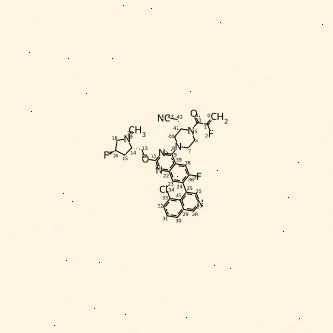 C=C(F)C(=O)N1CCN(c2nc(OC[C@@H]3C[C@@H](F)CN3C)nc3cc(-c4cncc5cccc(Cl)c45)c(F)cc23)C[C@@H]1CC#N